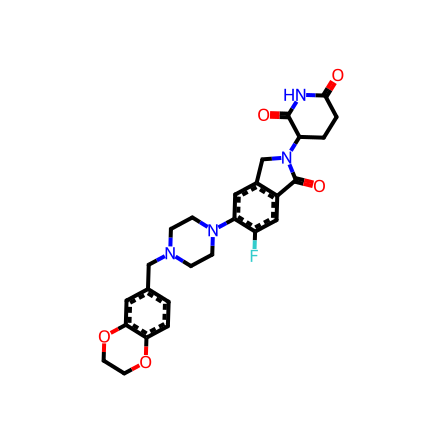 O=C1CCC(N2Cc3cc(N4CCN(Cc5ccc6c(c5)OCCO6)CC4)c(F)cc3C2=O)C(=O)N1